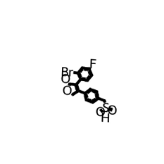 O=C1OCC(c2ccc(C[SH](=O)=O)cc2)=C1c1ccc(F)cc1Br